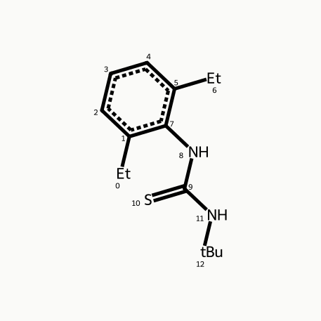 CCc1cccc(CC)c1NC(=S)NC(C)(C)C